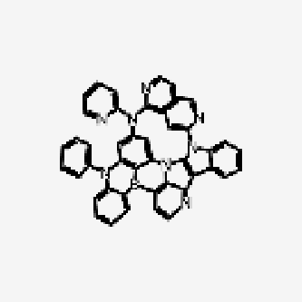 c1ccc(N2c3ccccc3B3c4c2cc(N(c2ccccn2)c2ccccn2)cc4-n2c4c3ccnc4c3c4ccccc4n(-c4ccccn4)c32)cc1